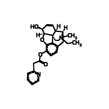 CC[N+]1(C)CC[C@]23c4c5ccc(OC(=O)Cc6ccccn6)c4O[C@H]2[C@@H](O)C=C[C@H]3[C@H]1C5